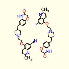 Cc1ccc2c(OCCN3CCC(Cc4ccc5c(c4)NC(=O)CO5)CC3)cc(C#N)cc2n1.Cc1ccc2c(OCCN3CCC(Cc4ccc5c(c4)NC(=O)CO5)CC3)cc(I)cc2n1